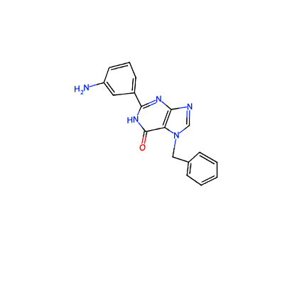 Nc1cccc(-c2nc3ncn(Cc4ccccc4)c3c(=O)[nH]2)c1